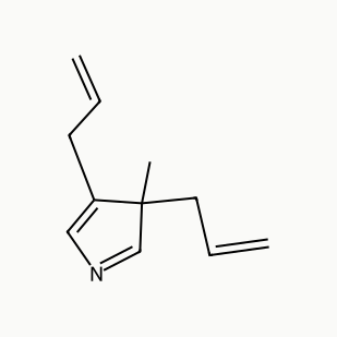 C=CCC1=CN=CC1(C)CC=C